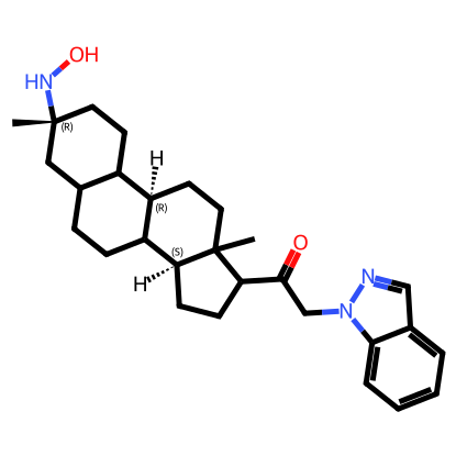 CC12CC[C@@H]3C4CC[C@@](C)(NO)CC4CCC3[C@@H]1CCC2C(=O)Cn1ncc2ccccc21